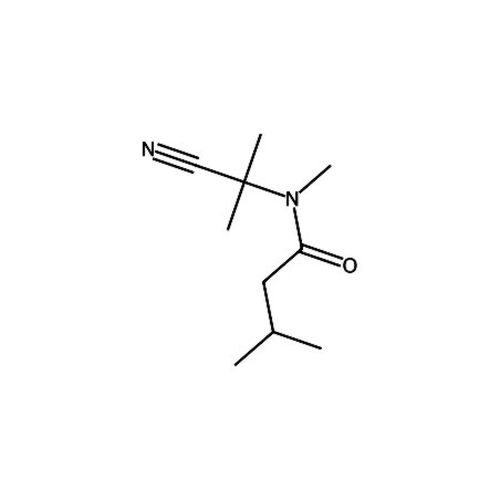 CC(C)CC(=O)N(C)C(C)(C)C#N